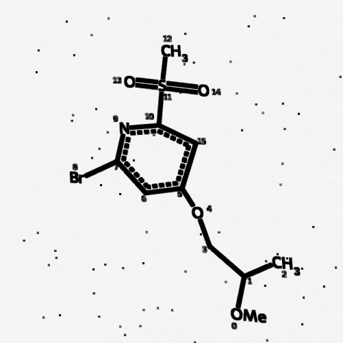 COC(C)COc1cc(Br)nc(S(C)(=O)=O)c1